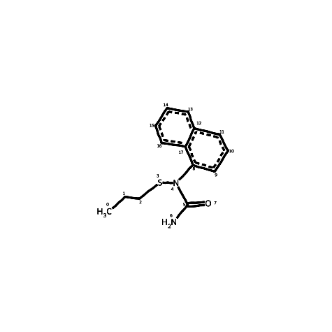 CCCSN(C(N)=O)c1cccc2ccccc12